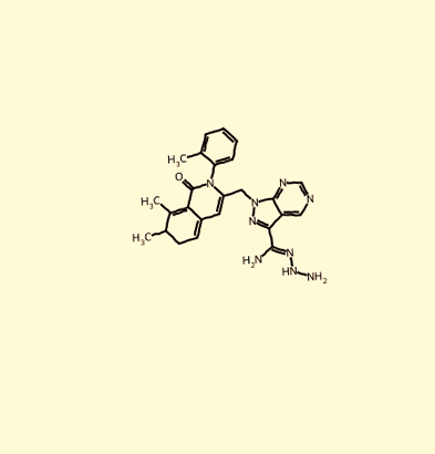 CC1=c2c(cc(Cn3nc(/C(N)=N/NN)c4cncnc43)n(-c3ccccc3C)c2=O)=CCC1C